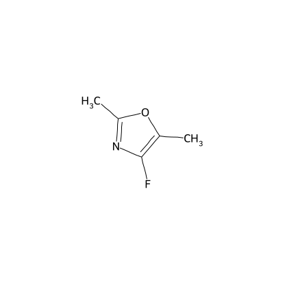 Cc1nc(F)c(C)o1